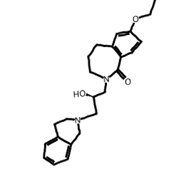 CCOc1ccc2c(c1)CCCN(C[C@H](O)CN1CCc3ccccc3C1)C2=O